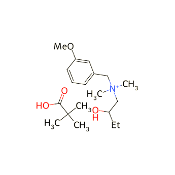 CC(C)(C)C(=O)O.CCC(O)C[N+](C)(C)Cc1cccc(OC)c1